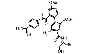 COc1ccc(-c2cc(C)c(C(=O)N[C@H](CO)C(C)(C)C)cc2C(=O)O)c(C(=O)Nc2ccc(C(=N)N)cc2)n1